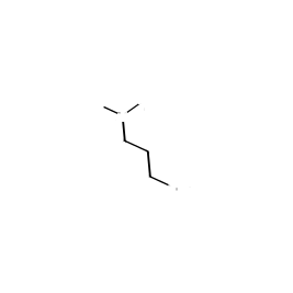 CCCCCCCCP(CC)CC